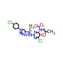 C[C@H](Nc1nc(Cl)cc(N2C(=O)OC[C@@H]2[C@@H](C)O)n1)c1cn(-c2ccc(Cl)cc2)nn1